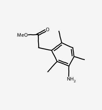 COC(=O)Cc1c(C)cc(C)c(N)c1C